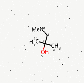 [CH2]NCC(C)(C)O